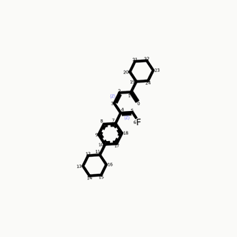 C=C(/C=C\C(=C\F)c1ccc(C2CCCCC2)cc1)C1CCCCC1